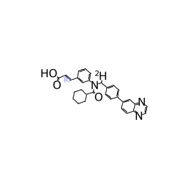 [2H]C(c1ccc(-c2ccc3nccnc3c2)cc1)N(C(=O)C1CCCCC1)c1cccc(/C=C/C(=O)O)c1